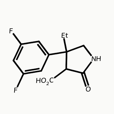 CCC1(c2cc(F)cc(F)c2)CNC(=O)C1C(=O)O